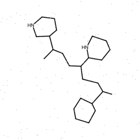 CC(CCC(CCC(C)C1CCCNC1)C1CCCCN1)C1CCCCC1